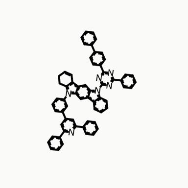 C1=Cc2c(n(-c3cccc(-c4cc(-c5ccccc5)nc(-c5ccccc5)c4)c3)c3cc4c5ccccc5n(-c5nc(-c6ccccc6)nc(-c6ccc(-c7ccccc7)cc6)n5)c4cc23)CC1